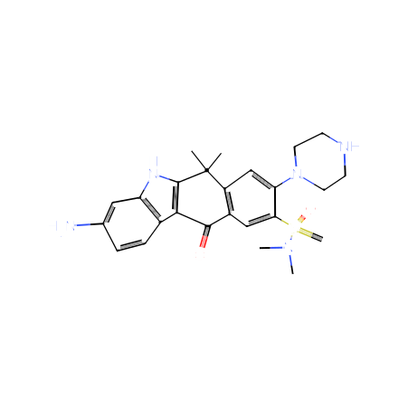 C=S(=O)(c1cc2c(cc1N1CCNCC1)C(C)(C)c1[nH]c3cc(N)ccc3c1C2=O)N(C)C